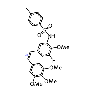 COc1cc(/C=C\c2cc(F)c(OC)c(NS(=O)(=O)c3ccc(C)cc3)c2)cc(OC)c1OC